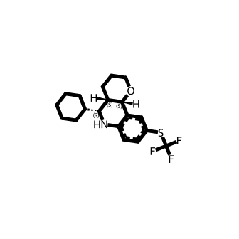 FC(F)(F)Sc1ccc2c(c1)[C@H]1OCCC[C@H]1[C@@H](C1CCCCC1)N2